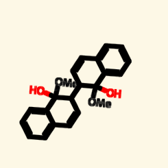 COC1(O)c2ccccc2C=CC1C1C=Cc2ccccc2C1(O)OC